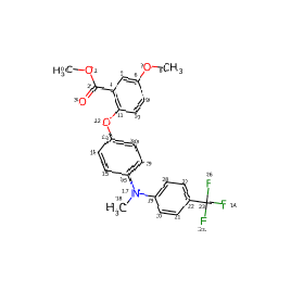 COC(=O)c1cc(OC)ccc1Oc1ccc(N(C)c2ccc(C(F)(F)F)cc2)cc1